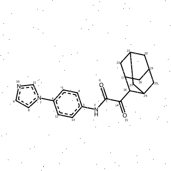 O=C(Nc1ccc(-n2ccnc2)cc1)C(=O)C1C2CC3CC(C2)CC1C3